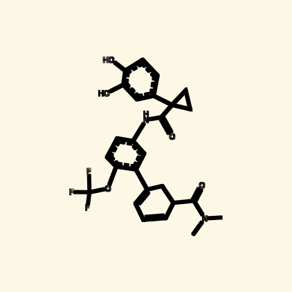 CN(C)C(=O)C1C=CC=C(c2cc(NC(=O)C3(c4ccc(O)c(O)c4)CC3)ccc2OC(F)(F)F)C1